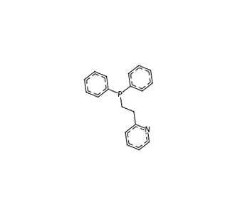 c1ccc(P(CCc2ccccn2)c2ccccc2)cc1